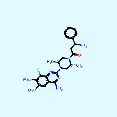 COc1cc2c(N)nc(N3C[C@@H](C)N(C(=O)CC(N)c4ccccc4)C[C@@H]3C)nc2c(F)c1OC